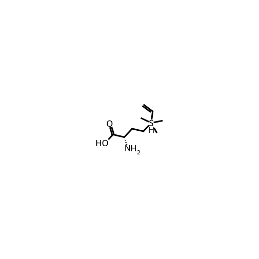 C=C[SH](C)(C)(C)CC[C@H](N)C(=O)O